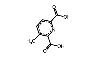 Cc1ccc(C(=O)O)nc1C(=O)O